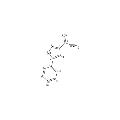 NC(=O)c1c[nH]c(-c2ccncc2)c1